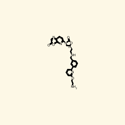 NCCOc1cccc(-c2cccc(CNCC[C@H]3CN(c4ccc5ncc(=O)oc5n4)C(=O)O3)c2)n1